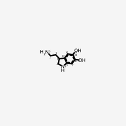 NCCC1CNc2cc(O)c(O)cc21